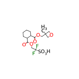 CC1(COC(=O)C2CCCCC2C(=O)OCC(F)(F)S(=O)(=O)O)COC1